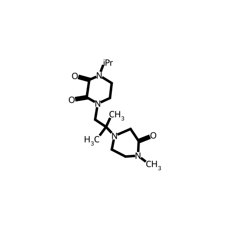 CC(C)N1CCN(CC(C)(C)N2CCN(C)C(=O)C2)C(=O)C1=O